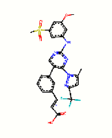 COc1cc(Nc2ncc(-c3cccc(/C=C/C(=O)O)c3)c(-n3nc(C(F)(F)F)cc3C)n2)cc(S(C)(=O)=O)c1